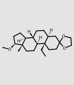 CC[C@]12CCC3(C[C@@H]1CC[C@H]1[C@@H]4CC[C@H](OC)[C@@]4(C)CC[C@@H]12)OCCO3